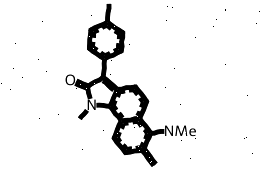 C=c1ccc2c3c(ccc2c1NC)=C(c1ccc(C)cc1)C(=O)N3C